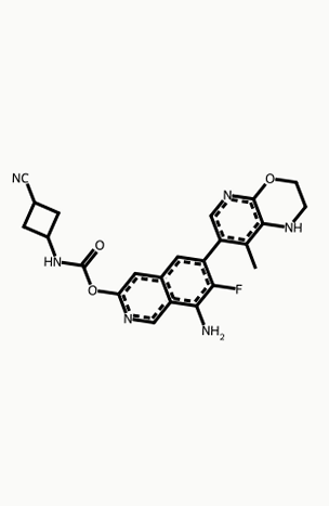 Cc1c(-c2cc3cc(OC(=O)NC4CC(C#N)C4)ncc3c(N)c2F)cnc2c1NCCO2